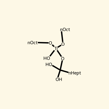 CCCCCCCC[O][Ti]([OH])([O]CCCCCCCC)[O]C(O)(O)CCCCCCC